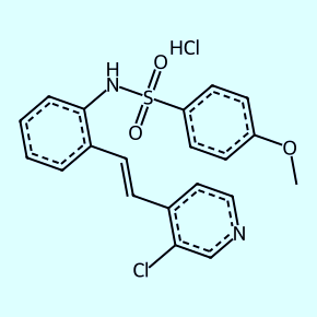 COc1ccc(S(=O)(=O)Nc2ccccc2/C=C/c2ccncc2Cl)cc1.Cl